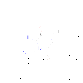 Cn1cc(Br)n(C=N)c(=N)c1=O